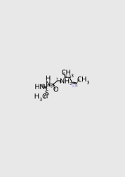 C/C=C\CC(C)NCC(=O)NC(=N)SC